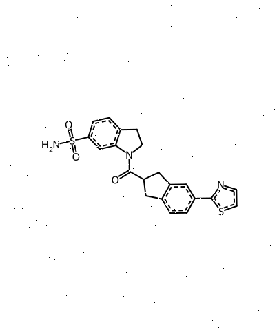 NS(=O)(=O)c1ccc2c(c1)N(C(=O)C1Cc3ccc(-c4nccs4)cc3C1)CC2